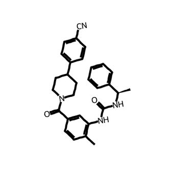 Cc1ccc(C(=O)N2CCC(c3ccc(C#N)cc3)CC2)cc1NC(=O)N[C@H](C)c1ccccc1